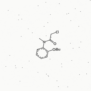 CC(C)COc1ccccc1N(C)C(=O)CCl